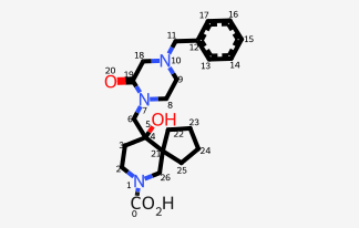 O=C(O)N1CCC(O)(CN2CCN(Cc3ccccc3)CC2=O)C2(CCCC2)C1